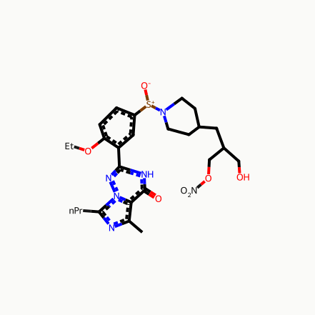 CCCc1nc(C)c2c(=O)[nH]c(-c3cc([S+]([O-])N4CCC(CC(CO)CO[N+](=O)[O-])CC4)ccc3OCC)nn12